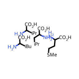 CC(C)C(N)C(=O)O.CC(C)CC(N)C(=O)O.CCC(C)C(N)C(=O)O.CSCCC(N)C(=O)O